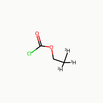 [2H]C([2H])([2H])COC(=O)Cl